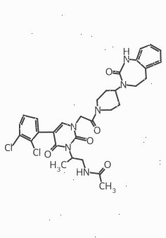 CC(=O)NCC(C)n1c(=O)c(-c2cccc(Cl)c2Cl)cn(CC(=O)N2CCC(N3CCc4ccccc4NC3=O)CC2)c1=O